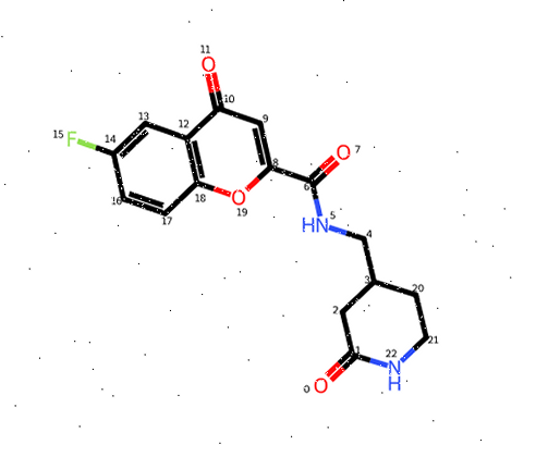 O=C1CC(CNC(=O)c2cc(=O)c3cc(F)ccc3o2)CCN1